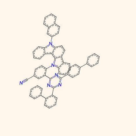 N#Cc1ccc(-n2c3ccccc3c3ccc4c(c5ccccc5n4-c4ccc5ccccc5c4)c32)c(-c2nc(-c3ccc(-c4ccccc4)cc3)nc(-c3ccccc3-c3ccccc3)n2)c1